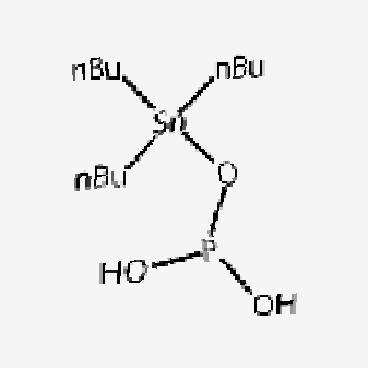 CCC[CH2][Sn]([CH2]CCC)([CH2]CCC)[O]P(O)O